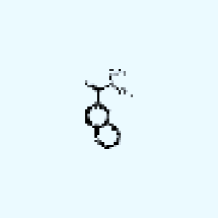 CON(C)C(=O)c1ccc2nccnc2c1